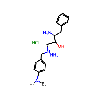 CCN(CC)c1ccc(CN(N)CC(O)C(N)Cc2ccccc2)cc1.Cl